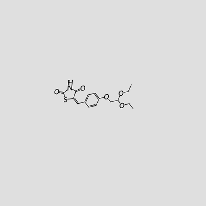 CCOC(COc1ccc(C=C2SC(=O)NC2=O)cc1)OCC